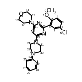 COc1ccc(Cl)cc1-c1nc(N2CCOCC2)nc(N2CCN(c3ccccn3)CC2)n1